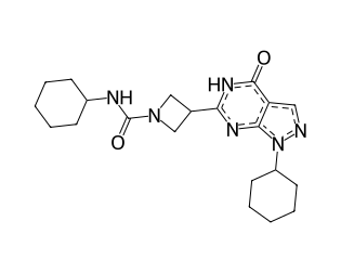 O=C(NC1CCCCC1)N1CC(c2nc3c(cnn3C3CCCCC3)c(=O)[nH]2)C1